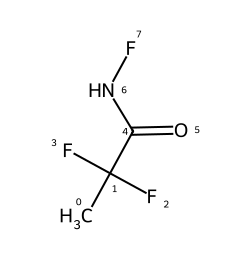 CC(F)(F)C(=O)NF